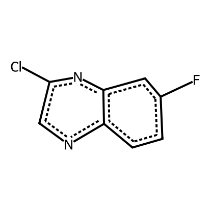 Fc1ccc2ncc(Cl)nc2c1